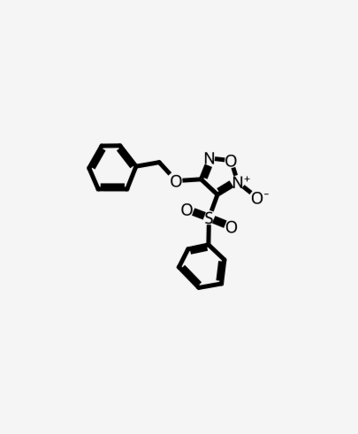 O=S(=O)(c1ccccc1)c1c(OCc2ccccc2)no[n+]1[O-]